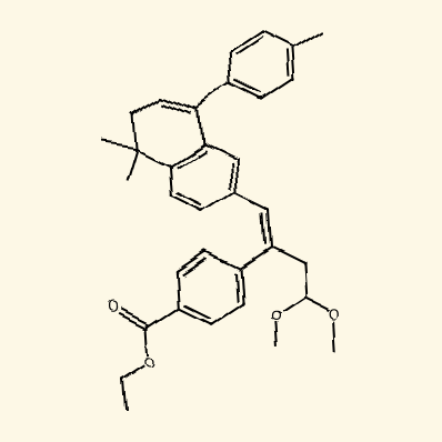 CCOC(=O)c1ccc(C(=Cc2ccc3c(c2)C(c2ccc(C)cc2)=CCC3(C)C)CC(OC)OC)cc1